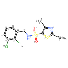 CC(=O)Nc1nc(C)c(S(=O)(=O)NCc2cccc(Cl)c2Cl)s1